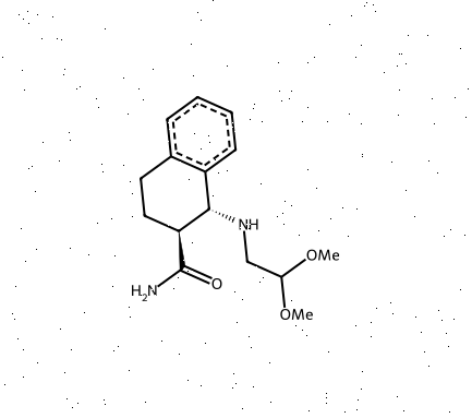 COC(CN[C@H]1c2ccccc2CC[C@@H]1C(N)=O)OC